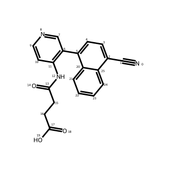 N#Cc1ccc(-c2cnccc2NC(=O)CCC(=O)O)c2ccccc12